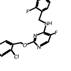 Fc1ccccc1CNc1nc(OCc2ccccc2Cl)ncc1F